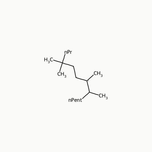 CCCCCC(C)[C](C)CCC(C)(C)CCC